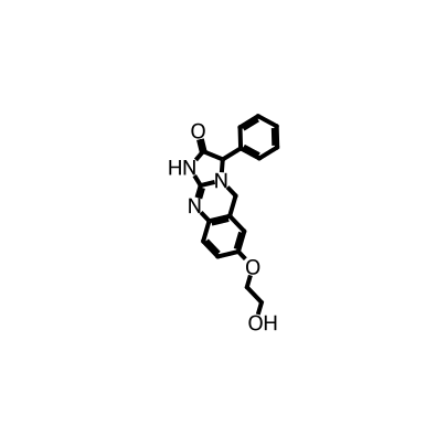 O=C1NC2=Nc3ccc(OCCO)cc3CN2C1c1ccccc1